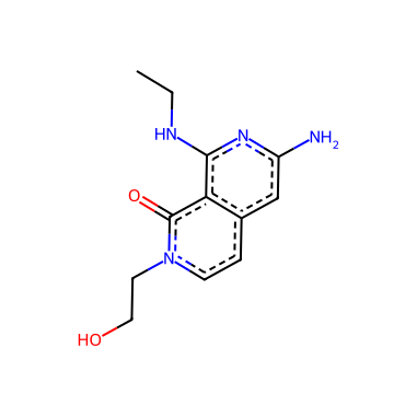 CCNc1nc(N)cc2ccn(CCO)c(=O)c12